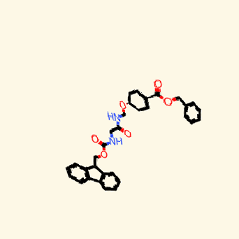 O=C(CNC(=O)OCC1c2ccccc2-c2ccccc21)NCO[C@H]1CC[C@H](C(=O)OCc2ccccc2)CC1